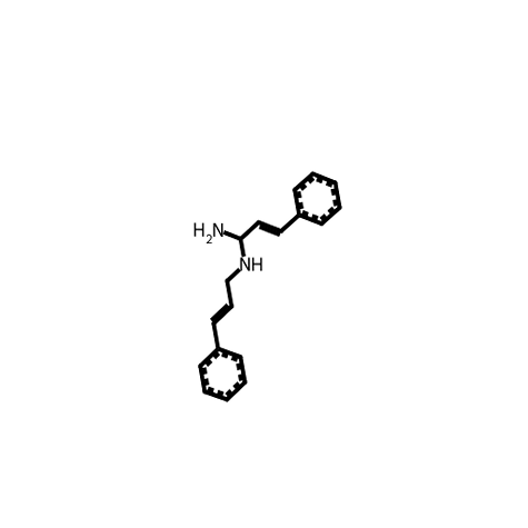 NC(C=Cc1ccccc1)NC/C=C/c1ccccc1